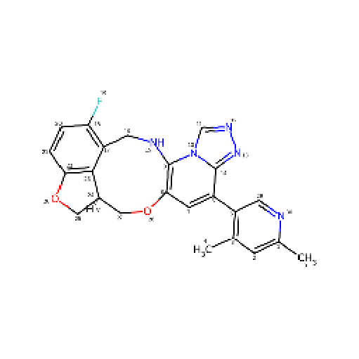 Cc1cc(C)c(-c2cc3c(n4cnnc24)NCc2c(F)ccc4c2[C@H](CO4)CO3)cn1